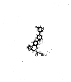 Cc1cncc(C2CCC(Cl)(c3ccc4c(c3)CN(C(=O)OC(C)(C)C)Cc3nncn3-4)CC2)n1